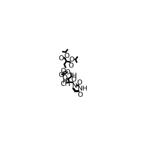 CC(C)OC(=O)C(CCOP1(=O)OC[C@H]2O[C@@H](n3ccc(=O)[nH]c3=O)[C@](C)(Cl)[C@@H]2O1)C(=O)OC(C)C